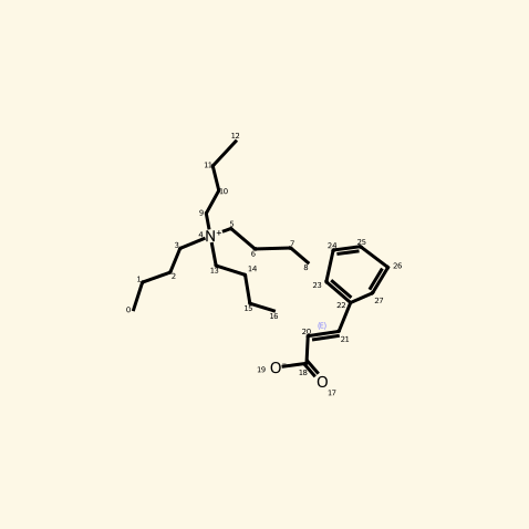 CCCC[N+](CCCC)(CCCC)CCCC.O=C([O-])/C=C/c1ccccc1